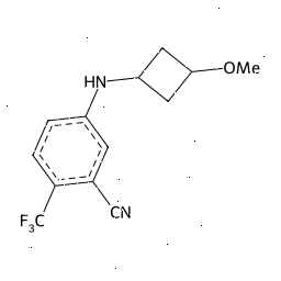 COC1CC(Nc2ccc(C(F)(F)F)c(C#N)c2)C1